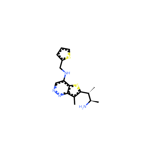 Cc1c([C@H](C)[C@@H](C)N)sc2c(NCc3cccs3)cnnc12